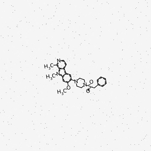 COc1cc2c(cc1N1CCN(S(=O)(=O)Cc3ccccc3)CC1)c1ccnc(C)c1n2C